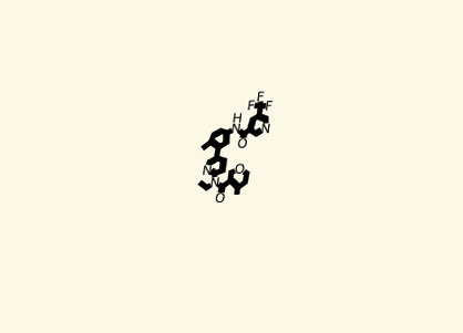 CCN(C(=O)C1=C(C)CCOC1)c1ccc(-c2cc(NC(=O)c3cncc(C(F)(F)F)c3)ccc2C)cn1